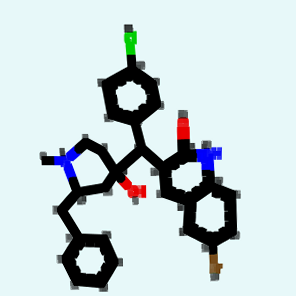 CN1CCC(O)(C(c2ccc(Cl)cc2)c2cc3cc(Br)ccc3[nH]c2=O)CC1Cc1ccccc1